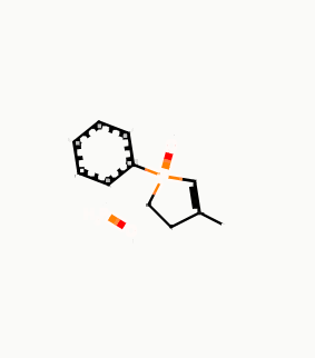 CC1=CP(=O)(c2ccccc2)CC1.O=[PH3]